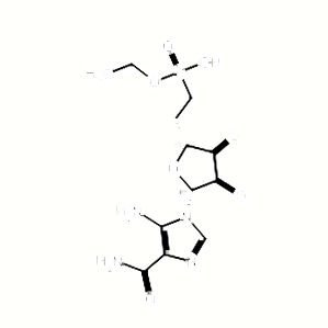 CCOP(=O)(O)CC[C@H]1O[C@@H](n2cnc(C(N)=O)c2N)C(=O)C1=O